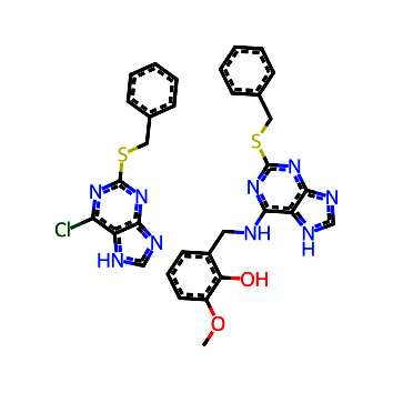 COc1cccc(CNc2nc(SCc3ccccc3)nc3nc[nH]c23)c1O.Clc1nc(SCc2ccccc2)nc2nc[nH]c12